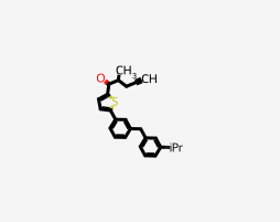 C#CCC(C)C(=O)c1ccc(-c2cccc(Cc3cccc(C(C)C)c3)c2)s1